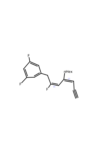 C#C/C=C(\C=C(\F)Cc1cc(F)cc(F)c1)CCCCCC